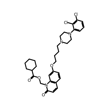 O=C(OCn1c(=O)ccc2ccc(OCCCCN3CCN(c4cccc(Cl)c4Cl)CC3)cc21)C1CCCCC1